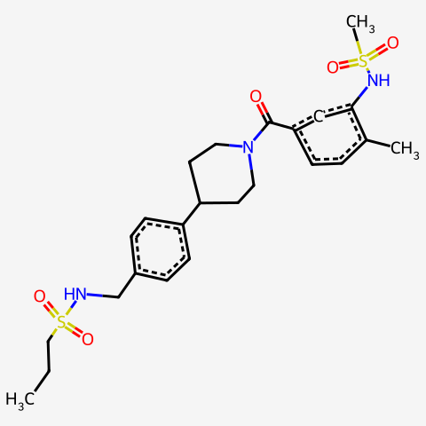 CCCS(=O)(=O)NCc1ccc(C2CCN(C(=O)c3ccc(C)c(NS(C)(=O)=O)c3)CC2)cc1